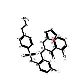 NCCc1ccc(S(=O)(=O)Nc2ccc(Cl)cc2CN(Cc2ccco2)C(=O)c2ccccc2Cl)cc1